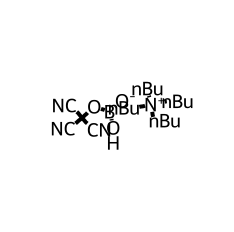 CCCC[N+](CCCC)(CCCC)CCCC.N#CC(C#N)(C#N)OB([O-])O